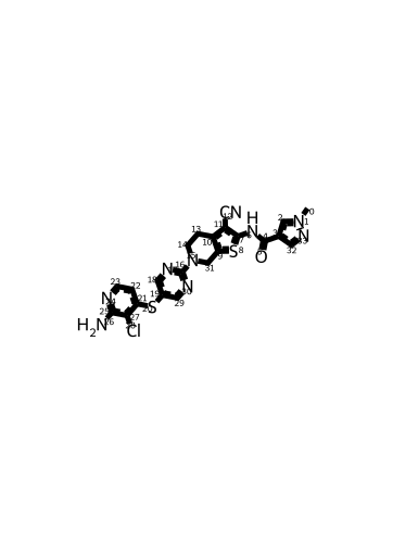 Cn1cc(C(=O)Nc2sc3c(c2C#N)CCN(c2ncc(Sc4ccnc(N)c4Cl)cn2)C3)cn1